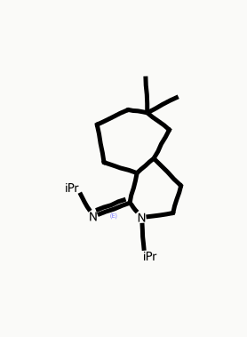 CC(C)/N=C1\C2CCCC(C)(C)CC2CCN1C(C)C